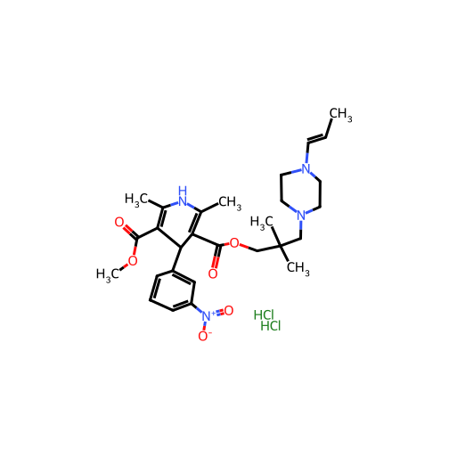 CC=CN1CCN(CC(C)(C)COC(=O)C2=C(C)NC(C)=C(C(=O)OC)C2c2cccc([N+](=O)[O-])c2)CC1.Cl.Cl